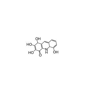 O=C1C(O)=C(O)C(O)C2=C1NC1C(O)=CC=CC1=C2